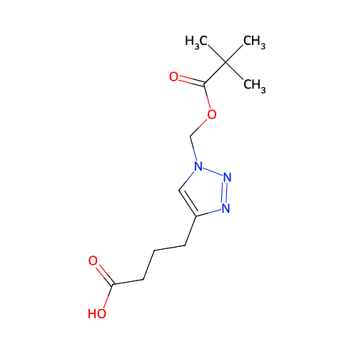 CC(C)(C)C(=O)OCn1cc(CCCC(=O)O)nn1